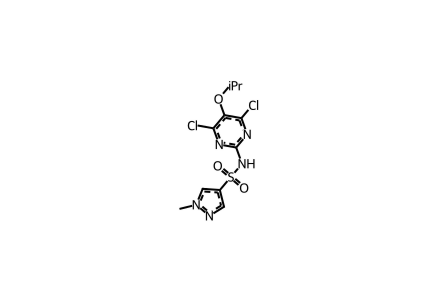 CC(C)Oc1c(Cl)nc(NS(=O)(=O)c2cnn(C)c2)nc1Cl